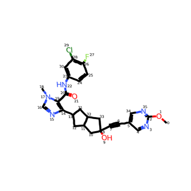 COc1ncc(C#CC2(O)CC3CC(c4ncn(C)c4C(=O)Nc4ccc(F)c(Cl)c4)CC3C2)cn1